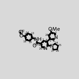 COc1cncc(-c2cc(C(=O)Nc3ccc(OC(F)(F)F)cc3)cnc2N2CCCC2)c1